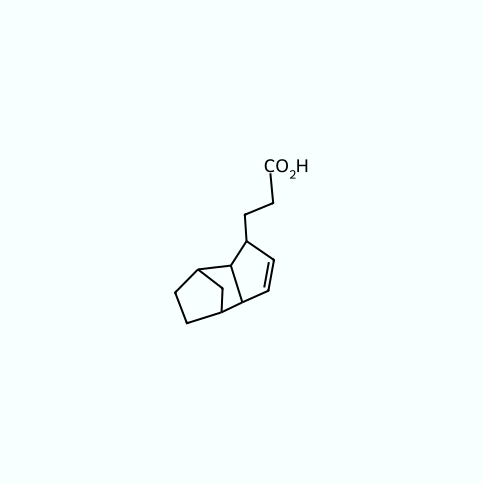 O=C(O)CCC1C=CC2C3CCC(C3)C12